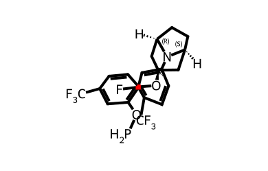 Fc1cc(N2[C@@H]3CC[C@H]2C[C@@H](Oc2ccc(C(F)(F)F)cc2OP)C3)ccc1C(F)(F)F